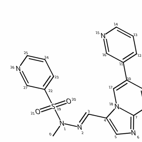 CN(N=Cc1cnc2ccc(-c3cccnc3)cn12)S(=O)(=O)c1cccnc1